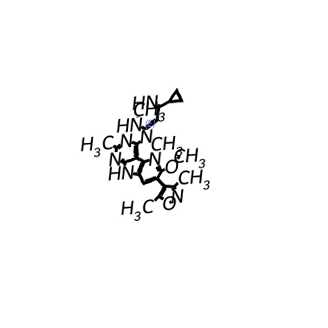 CN/C(=C\C(=N)C1CC1)N(C)c1nc(C)nc2[nH]c3cc(-c4c(C)noc4C)c(OC)nc3c12